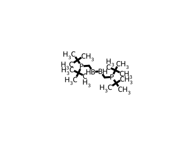 CC(C)(C)P(CBBCP(C(C)(C)C)C(C)(C)C)C(C)(C)C